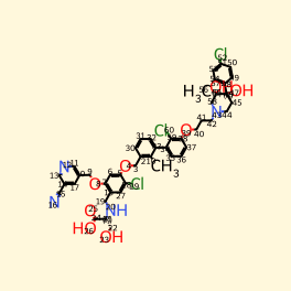 Cc1c(COc2cc(OCc3cncc(C#N)c3)c(CN[C@H](CO)C(=O)O)cc2Cl)cccc1-c1cccc(OCCCN2CC[C@@](O)(c3ccc(Cl)cc3)[C@](C)(O)C2)c1Cl